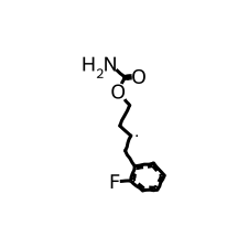 NC(=O)OCC[CH]Cc1ccccc1F